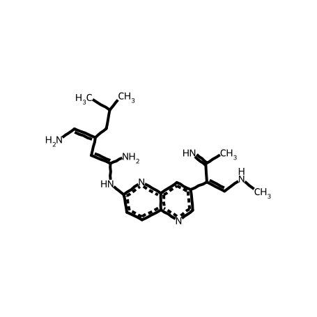 CN/C=C(\C(C)=N)c1cnc2ccc(N/C(N)=C/C(=C\N)CC(C)C)nc2c1